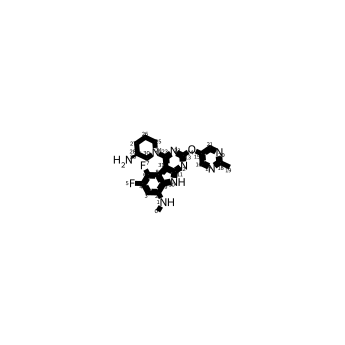 CNc1cc(F)c(F)c2c1[nH]c1nc(Oc3cnc(C)nc3)nc(N3CCC[C@H](N)C3)c12